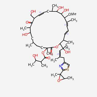 COC1/C(C)=C/C=C/C(C)C(C(C)(O)/C=C(/C)Cc2csc(C3(C)OC3C)n2)OC(=O)C(C)(OC(=O)C(C)C(C)O)CCC(C)CC(O)C(C)C(=O)C(CO)/C=C\CC(C)C(O)C1O